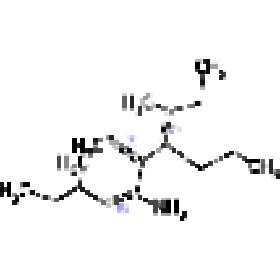 C/C=C(C(\N)=C/C(C)CC)/C(CCC)=C(\C)CC